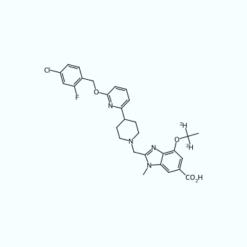 [2H]C([2H])(C)Oc1cc(C(=O)O)cc2c1nc(CN1CCC(c3cccc(OCc4ccc(Cl)cc4F)n3)CC1)n2C